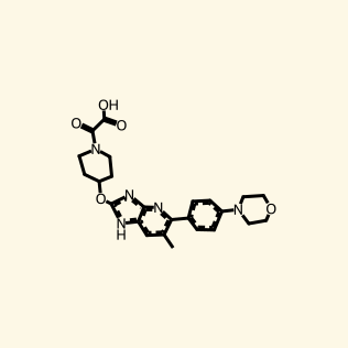 Cc1cc2[nH]c(OC3CCN(C(=O)C(=O)O)CC3)nc2nc1-c1ccc(N2CCOCC2)cc1